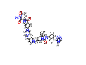 C[C@H](c1cccc(-n2cc3c(C(F)(F)F)cc(CN4CCC(CN5CCN(c6ccc7c(c6)CN([C@H]6CCC(=O)NC6=O)C7=O)CC5)CC4)cn3c2=O)c1)c1nncn1C